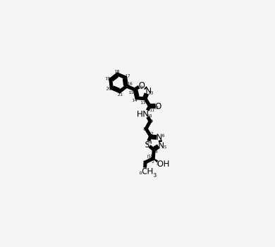 CC[C@H](O)c1nnc(CCNC(=O)c2cc(-c3ccccc3)on2)s1